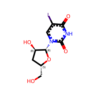 O=c1[nH]c(=O)n([C@@H]2O[C@H](CO)C[C@H]2O)cc1I